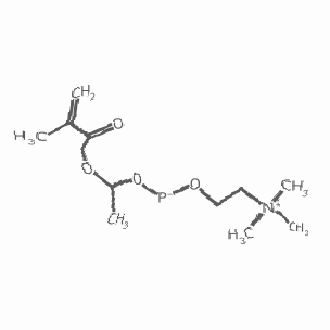 C=C(C)C(=O)OC(C)O[P-]OCC[N+](C)(C)C